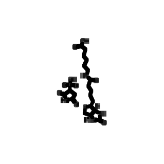 O=C(O)CCCCCNC(=O)CCCC[C@@H]1SC[C@@H]2NC(=O)N[C@@H]21.O=C1CC(S(=O)(=O)O)C(=O)N1